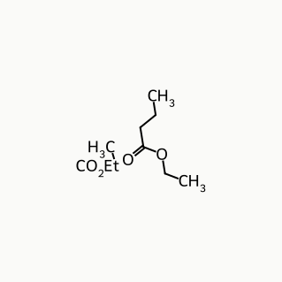 CCCC(=O)OCC.CCOC(C)=O